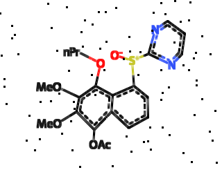 CCCOc1c(OC)c(OC)c(OC(C)=O)c2cccc([S+]([O-])c3ncccn3)c12